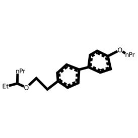 CCCOc1ccc(-c2ccc(CCOC(CC)CCC)cc2)cc1